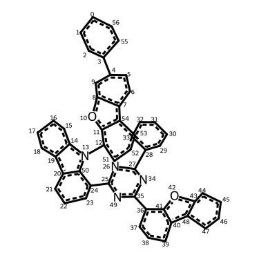 c1ccc(-c2ccc3c(c2)oc2c(-n4c5ccccc5c5cccc(-c6nc(-c7ccccc7)nc(-c7cccc8c7oc7ccccc78)n6)c54)cccc23)cc1